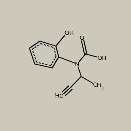 C#CC(C)N(C(=O)O)c1ccccc1O